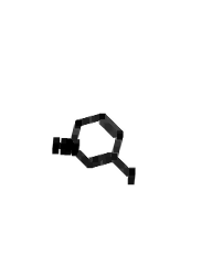 IC1=CNCC=C1